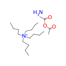 CC(=O)OC(C)=O.CCCC[N+](CCCC)(CCCC)CCCC.N